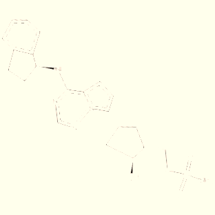 NS(=O)(=O)OC[C@H]1C[C@@H](c2ccc3c(N[C@H]4CCc5ccccc54)ncnn23)C[C@@H]1O